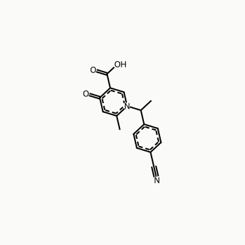 Cc1cc(=O)c(C(=O)O)cn1C(C)c1ccc(C#N)cc1